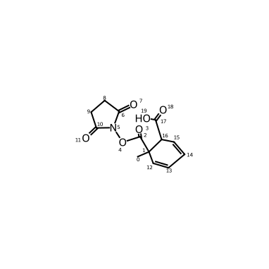 CC1(C(=O)ON2C(=O)CCC2=O)C=CC=CC1C(=O)O